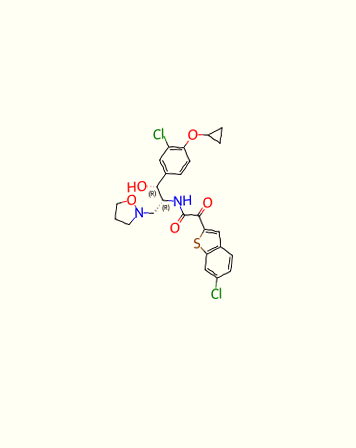 O=C(N[C@H](CN1CCCO1)[C@H](O)c1ccc(OC2CC2)c(Cl)c1)C(=O)c1cc2ccc(Cl)cc2s1